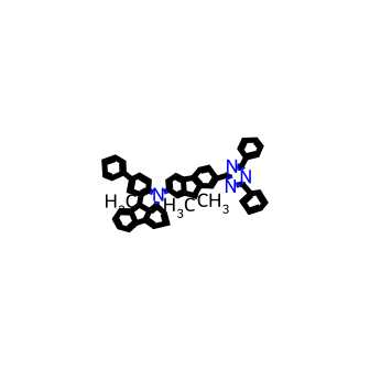 CC1(C)c2cc(-c3nc(-c4ccccc4)nc(-c4ccccc4)n3)ccc2-c2ccc(N3c4ccc(-c5ccccc5)cc4C4(C)c5ccccc5-c5cccc3c54)cc21